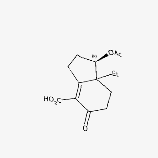 CCC12CCC(=O)C(C(=O)O)=C1CC[C@H]2OC(C)=O